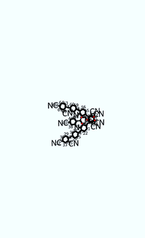 C=N/C=C\C(=C/C)c1c(-n2c3cc(-c4ccc(C#N)cc4C#N)ccc3c3ccc(-c4ccc(C#N)cc4C#N)cc32)cc(C#N)cc1-n1c2cc(-c3ccc(C#N)cc3C#N)ccc2c2ccc(-c3ccc(C#N)cc3C#N)cc21